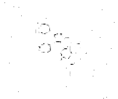 CC(C)[C@@H]1Cn2nc(-c3ccnnc3)c(-c3ccnnc3)c2-c2cc(=O)c(C(=O)O)cn21